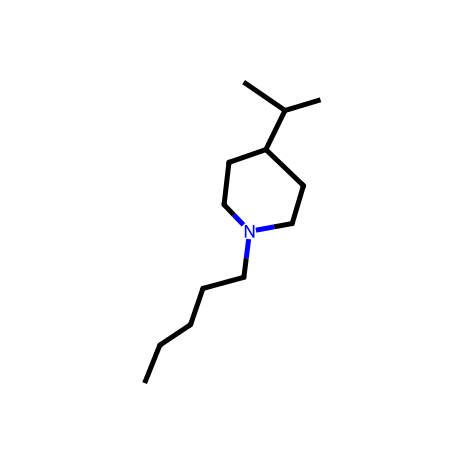 CCCCCN1CCC(C(C)C)CC1